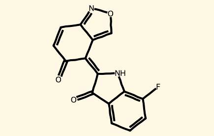 O=C1C=Cc2nocc2/C1=C1\Nc2c(F)cccc2C1=O